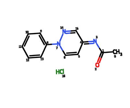 CC(=O)N=c1ccn(-c2ccccc2)nc1.Cl